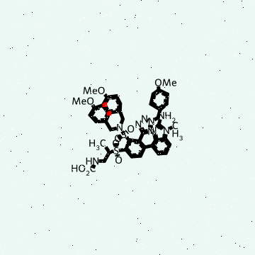 COc1ccc(CN(Cc2ccc(OC)cc2)S(=O)(=O)c2c(S(=O)(=O)C(C)CNC(=O)O)ccc(-c3cccc4c3nc(N)n4C)c2-c2nnn(Cc3ccc(OC)cc3)n2)cc1